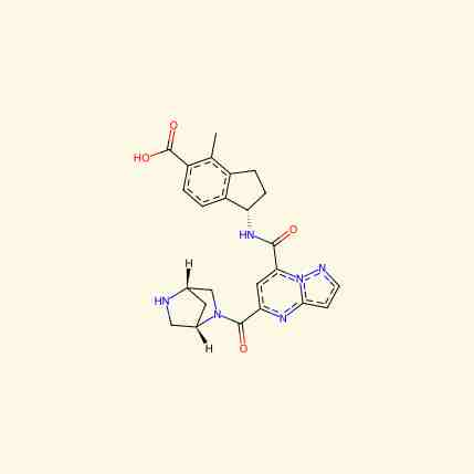 Cc1c(C(=O)O)ccc2c1CC[C@@H]2NC(=O)c1cc(C(=O)N2C[C@@H]3C[C@H]2CN3)nc2ccnn12